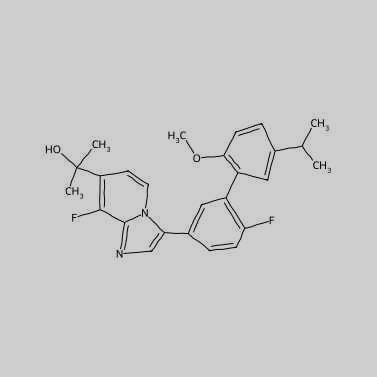 COc1ccc(C(C)C)cc1-c1cc(-c2cnc3c(F)c(C(C)(C)O)ccn23)ccc1F